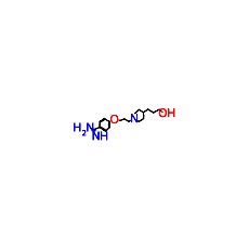 N=C(N)c1ccc(OCCCN2CCC(CCCO)CC2)cc1